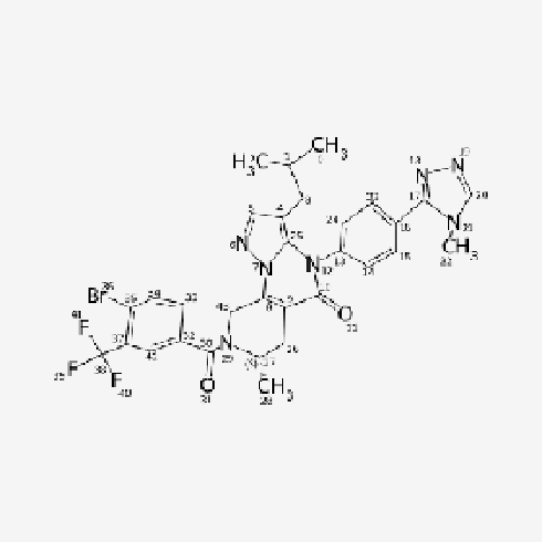 CC(C)Cc1cnn2c3c(c(=O)n(-c4ccc(-c5nncn5C)cc4)c12)C[C@H](C)N(C(=O)c1ccc(Br)c(C(F)(F)F)c1)C3